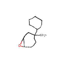 O=C(O)C1(C2CCCCC2)CCC2OC2C1